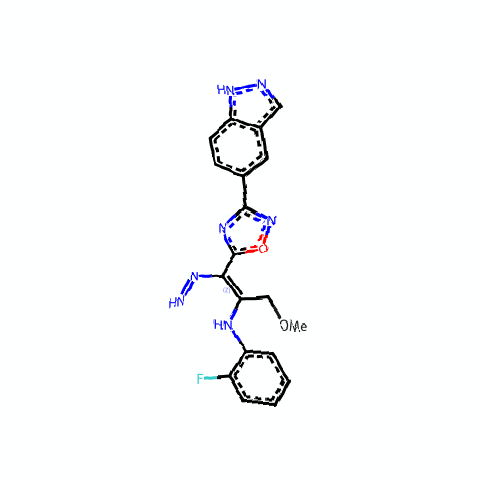 COC/C(Nc1ccccc1F)=C(/N=N)c1nc(-c2ccc3[nH]ncc3c2)no1